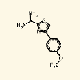 NC(N)c1nc(-c2ccc(OC(F)(F)F)cc2)cs1